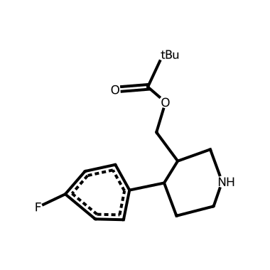 CC(C)(C)C(=O)OCC1CNCCC1c1ccc(F)cc1